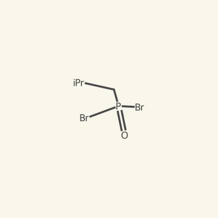 CC(C)CP(=O)(Br)Br